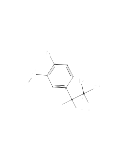 Nc1ccc(C(F)(C(F)(F)F)C(F)(F)Br)cc1SC(F)(F)F